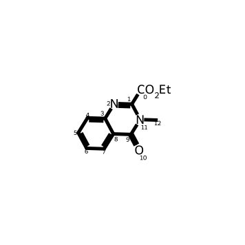 CCOC(=O)c1nc2ccccc2c(=O)n1C